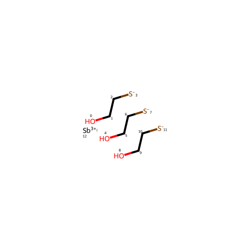 OCC[S-].OCC[S-].OCC[S-].[Sb+3]